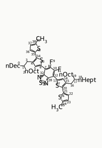 CCCCCCCCCCC(CCCCCCCC)Cc1cc(-c2c(F)c(F)c(-c3cc(CC(CCCCCCC)CCCCCCCC)c(-c4ccc(C)s4)s3)c3nsnc23)sc1-c1ccc(C)s1